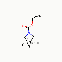 CCOC(=O)N1C[C@H]2C[C@H]2C1